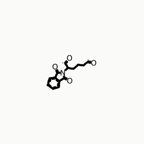 O=[C]CCCC([C]=O)N1C(=O)c2ccccc2C1=O